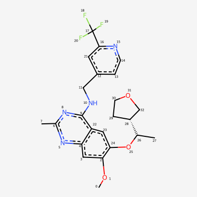 COc1cc2nc(C)nc(NCc3ccnc(C(F)(F)F)c3)c2cc1OC(C)[C@@H]1CCOC1